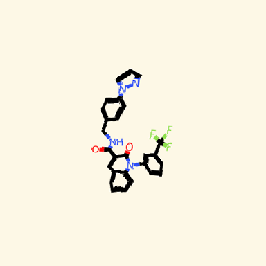 O=C(NCc1ccc(-n2cccn2)cc1)c1cc2ccccc2n(-c2cccc(C(F)(F)F)c2)c1=O